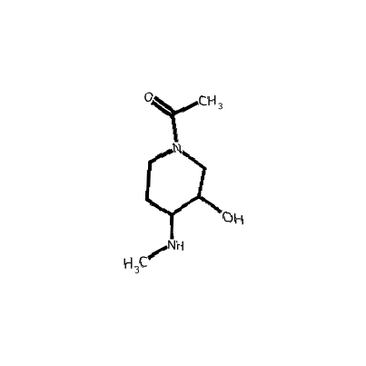 CNC1CCN(C(C)=O)CC1O